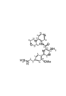 BNCCc1ccc(-c2cnc(N)c(C(=O)Nc3cnccc3N3CCOCC3)n2)c(OC)c1